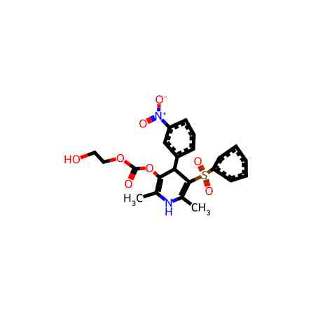 CC1=C(OC(=O)OCCO)C(c2cccc([N+](=O)[O-])c2)C(S(=O)(=O)c2ccccc2)=C(C)N1